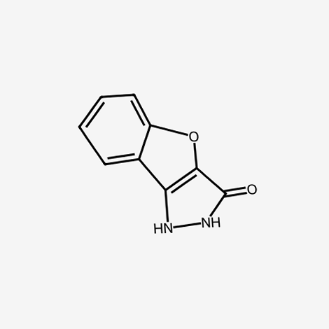 O=c1[nH][nH]c2c1oc1ccccc12